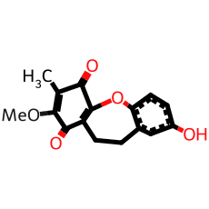 COC1=C(C)C(=O)C2=C(CCc3cc(O)ccc3O2)C1=O